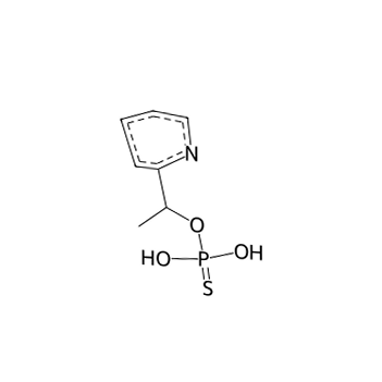 CC(OP(O)(O)=S)c1ccccn1